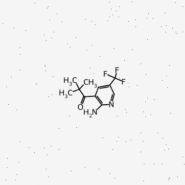 CC(C)(C)C(=O)c1cc(C(F)(F)F)cnc1N